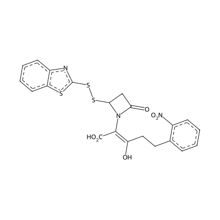 O=C(O)/C(=C(\O)CCc1ccccc1[N+](=O)[O-])N1C(=O)CC1SSc1nc2ccccc2s1